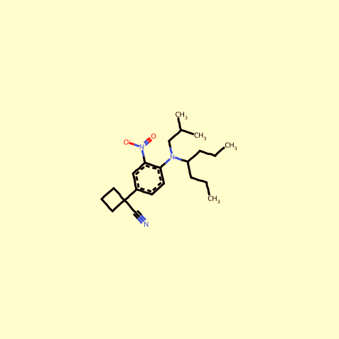 CCCC(CCC)N(CC(C)C)c1ccc(C2(C#N)CCC2)cc1[N+](=O)[O-]